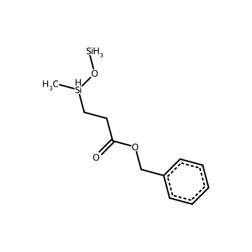 C[SiH](CCC(=O)OCc1ccccc1)O[SiH3]